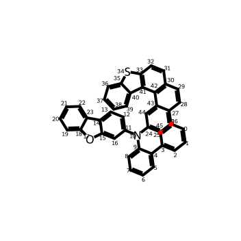 c1ccc(-c2ccccc2N(c2ccc3c(c2)oc2ccccc23)c2ccc3ccc4ccc5sc6ccccc6c5c4c3c2)cc1